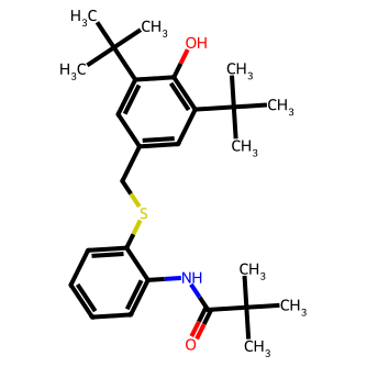 CC(C)(C)C(=O)Nc1ccccc1SCc1cc(C(C)(C)C)c(O)c(C(C)(C)C)c1